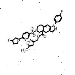 Cc1cc(COC(=O)C23Cc4cnn(-c5ccc(F)cc5)c4C=C2CCN(S(=O)(=O)c2ccc(N4CCC(F)C4)nc2)C3)no1